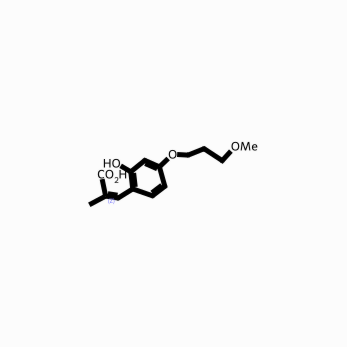 COCCCOc1ccc(/C=C(/C)C(=O)O)c(O)c1